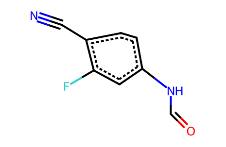 N#Cc1ccc(NC=O)cc1F